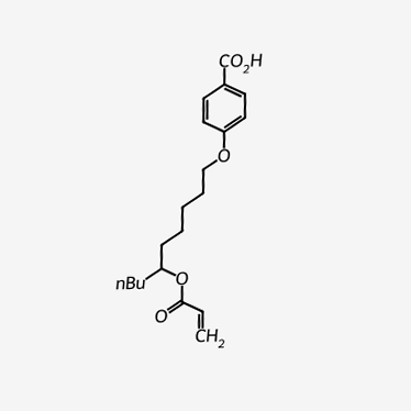 C=CC(=O)OC(CCCC)CCCCCOc1ccc(C(=O)O)cc1